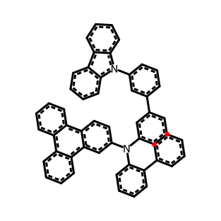 c1ccc(-c2ccccc2N(c2cccc(-c3cccc(-n4c5ccccc5c5ccccc54)c3)c2)c2ccc3c4ccccc4c4ccccc4c3c2)cc1